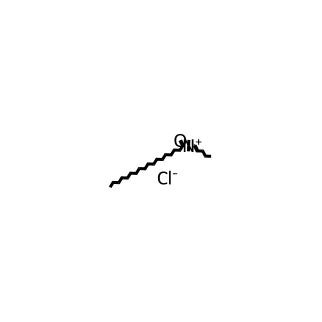 CCCC=C[N+](C)(C)C(=O)CCCCCCCCCCCCCCCCC.[Cl-]